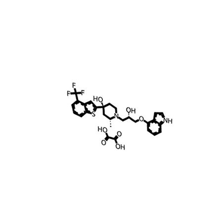 C[C@@H]1C[C@](O)(c2cc3c(C(F)(F)F)cccc3s2)CCN1C[C@H](O)COc1cccc2[nH]ccc12.O=C(O)C(=O)O